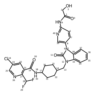 O=C(CO)Nc1ccc(-n2c(=O)n(CC3CCC(NC(=O)c4cc(Cl)cnc4C(F)F)CC3)c3ccccc32)cn1